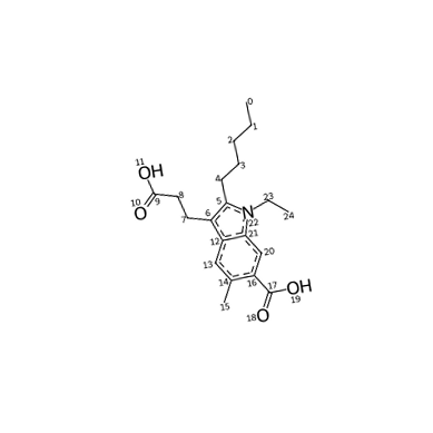 CCCCCc1c(CCC(=O)O)c2cc(C)c(C(=O)O)cc2n1CC